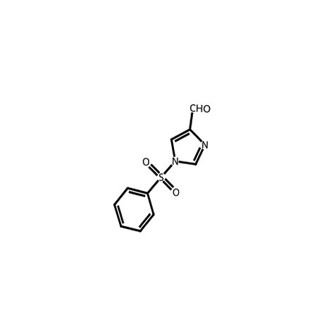 O=Cc1cn(S(=O)(=O)c2ccccc2)cn1